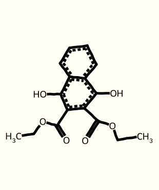 CCOC(=O)c1c(C(=O)OCC)c(O)c2ccccc2c1O